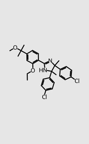 CCOc1cc(C(C)(C)OC)ccc1C1=NC(C)(c2ccc(Cl)cc2)C(C)(c2ccc(Cl)cc2)N1